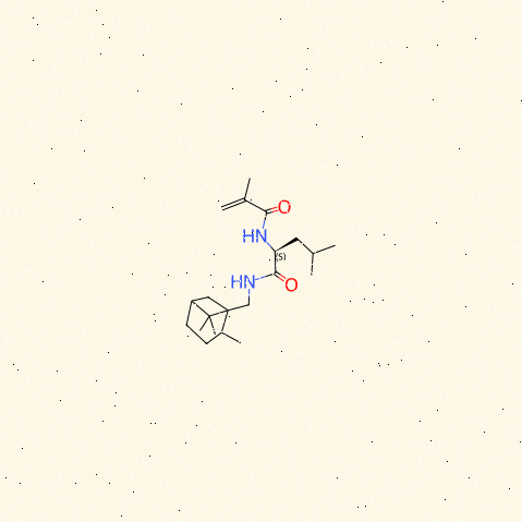 C=C(C)C(=O)N[C@@H](CC(C)C)C(=O)NCC12CC(CCC1C)C2(C)C